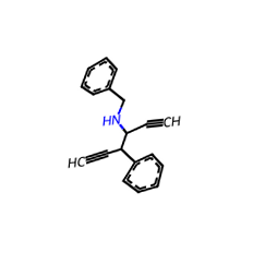 C#CC(NCc1ccccc1)C(C#C)c1ccccc1